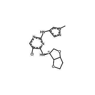 Cn1cc(Nc2ncc(Cl)c(N[C@H]3COC4CCOC43)n2)cn1